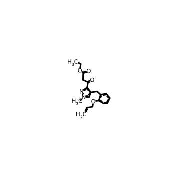 C=CCOc1ccccc1Cc1cn(C)nc1C(=O)CC(=O)OCC